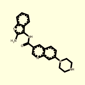 Nc1sc2ccccc2c1NC(=O)c1cnc2cc(N3CCNCC3)ccc2c1